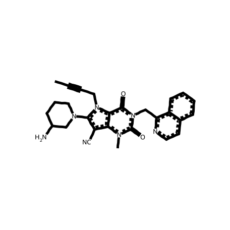 CC#CCn1c(N2CCCC(N)C2)c(C#N)c2c1c(=O)n(Cc1nccc3ccccc13)c(=O)n2C